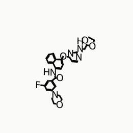 O=C(Nc1ccc(Oc2ccnc(NCC3OCCO3)n2)c2ccccc12)c1cc(F)cc(N2CCOCC2)c1